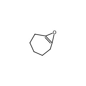 C1CCC2=C(CC1)O2